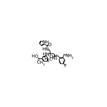 C=NN(Cc1ccc(F)cc1CN)CC(C)(CNC(=O)c1ccc[nH]1)Nc1cccc([C@H](C)O)c1